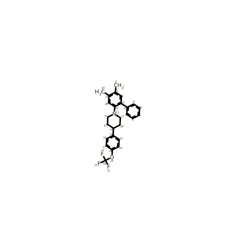 [CH2]c1cc(-c2ccccc2)c(N2CCC(c3ccc(OC(F)(F)F)cc3)CC2)cc1C